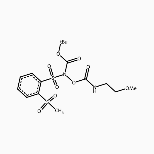 COCCNC(=O)ON(C(=O)OC(C)(C)C)S(=O)(=O)c1ccccc1S(C)(=O)=O